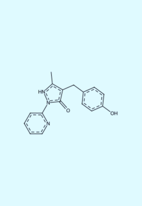 Cc1[nH]n(-c2ccccn2)c(=O)c1Cc1ccc(O)cc1